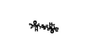 C=C(C)C(=O)NCCSSCCNC(=O)C(C)(C)C